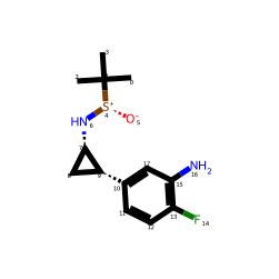 CC(C)(C)[S@+]([O-])N[C@H]1C[C@H]1c1ccc(F)c(N)c1